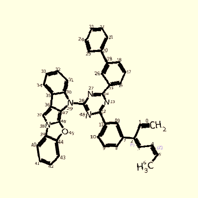 C=C/C(=C\C=C/C)c1cccc(-c2nc(-c3cccc(-c4ccccc4)c3)nc(-n3c4ccccc4c4cn5c6ccccc6oc5c43)n2)c1